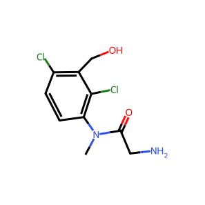 CN(C(=O)CN)c1ccc(Cl)c(CO)c1Cl